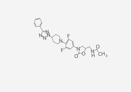 CC(=O)NCC1CN(c2cc(F)c(N3CCC(n4nnc(-c5ccccc5)n4)CC3)c(F)c2)C(=O)O1